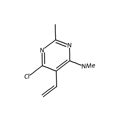 C=Cc1c(Cl)nc(C)nc1NC